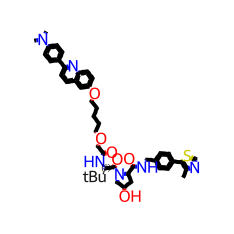 Cc1ncsc1-c1ccc(CNC(=O)C2CC(O)CN2C(=O)[C@@H](NC(=O)COCCCCCOc2ccc3nc(-c4ccc(N(C)C)cc4)ccc3c2)C(C)(C)C)cc1